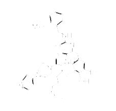 COc1ccccc1CNC(=O)NC(Cc1cc(Br)c(O)c(Br)c1)C(=O)N[C@@H](CCCCN)C(=O)N1CCN(c2ccncc2)CC1